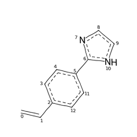 C=Cc1ccc(-c2ncc[nH]2)cc1